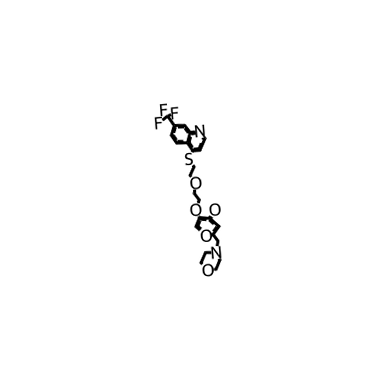 O=c1cc(CN2CCOCC2)occ1OCCOCCSc1ccnc2cc(C(F)(F)F)ccc12